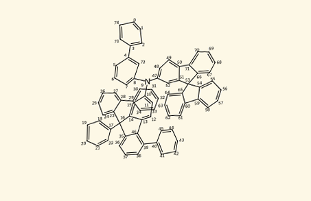 c1ccc(-c2cccc(N(c3ccc4c(c3)C(c3ccccc3)(c3ccccc3-c3ccccc3)c3cccc(-c5ccccc5)c3-4)c3ccc4c(c3)C3(c5ccccc5-c5ccccc53)c3ccccc3-4)c2)cc1